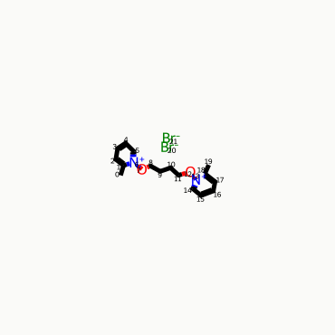 Cc1cccc[n+]1OCCCCO[n+]1ccccc1C.[Br-].[Br-]